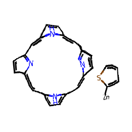 C1=Cc2cc3ccc(cc4nc(cc5ccc(cc1n2)[nH]5)C=C4)[nH]3.[Zn][c]1cccs1